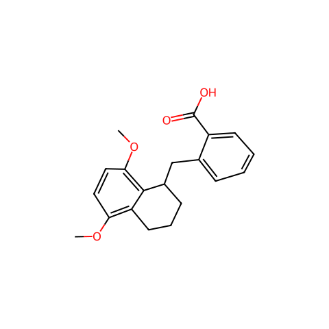 COc1ccc(OC)c2c1CCCC2Cc1ccccc1C(=O)O